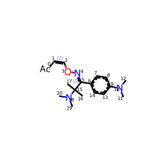 CC(=O)/C=C\O/N=C(/c1ccc(N(C)C)cc1)C(C)(C)N(C)C